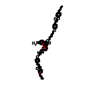 CCCCc1ccc(OC(=O)C=Cc2ccc(OCCCCCCOC(=O)C(Cc3ccc(N)cc3)(Cc3ccc(N)cc3)C(=O)OCCCCCCOc3ccc(C=CC(=O)Oc4ccc(CCCC)cc4)cc3)cc2)cc1